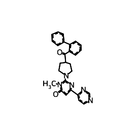 Cn1c(N2CCC(C(=O)c3ccccc3-c3ccccc3)CC2)nc(-c2ccncn2)cc1=O